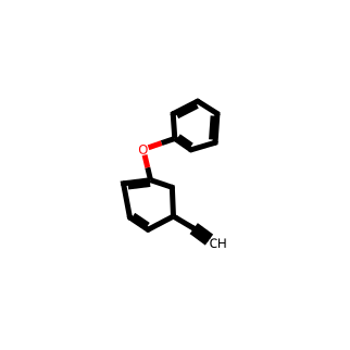 C#C[C]1C=CC=C(Oc2ccccc2)C1